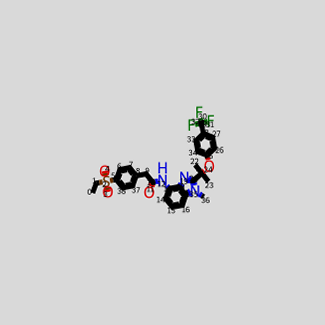 CCS(=O)(=O)c1ccc(CC(=O)Nc2cccc3c2nc(C(C)(C)Oc2ccc(C(F)(F)F)cc2)n3C)cc1